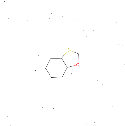 C1CCC2SCOC2C1